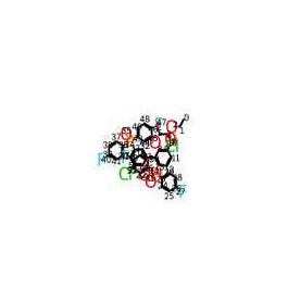 CCOC(=O)[C@H](C)Oc1c(Cl)ccc(P(=O)(c2ccc(F)cc2)c2ccc(F)cc2)c1-c1cc(P(=O)(c2ccc(F)cc2)c2ccc(F)cc2)cc(Cl)c1O